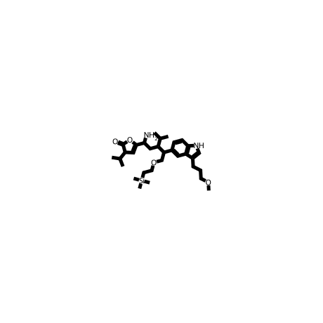 COCCCc1c[nH]c2ccc(C(COCC[Si](C)(C)C)C(CC(N)C3=CC(C(C)C)C(=O)O3)C(C)C)cc12